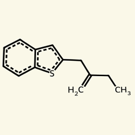 C=C(CC)Cc1cc2ccccc2s1